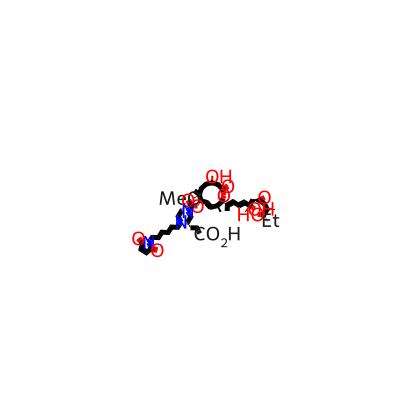 CC[C@H](O)[C@@H](C)[C@H]1O[C@@H]1C[C@@](C)(O)/C=C/C=C(\C)[C@H]1OC(=O)C[C@H](O)CC[C@@](C)(OC)[C@@H](OC(=O)N2CCN(CCCCCCN3C(=O)C=CC3=O)[C@@H](CCC(=O)O)C2)/C=C/[C@@H]1C